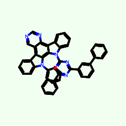 c1ccc(-c2cccc(-c3nc(-c4ccccc4)nc(-n4c5ccccc5c5c6ncncc6c6c7ccccc7n(-c7ccccc7)c6c54)n3)c2)cc1